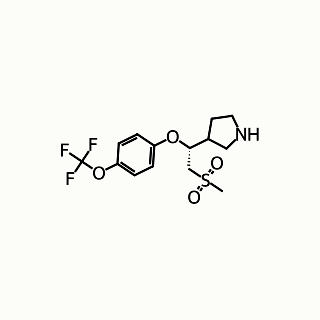 CS(=O)(=O)C[C@H](Oc1ccc(OC(F)(F)F)cc1)C1CCNC1